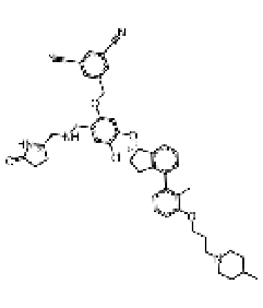 Cc1c(OCCCN2CCC(C)CC2)cccc1-c1cccc2c1CC[C@@H]2Oc1cc(OCc2cc(C#N)cc(C#N)c2)c(CNC[C@H]2CCC(=O)N2)cc1Cl